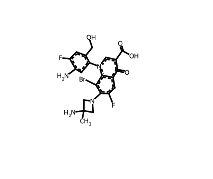 CC1(N)CN(c2c(F)cc3c(=O)c(C(=O)O)cn(-c4cc(N)c(F)cc4CO)c3c2Br)C1